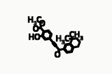 COC(=O)c1ccc(C#CC(=O)c2ccc3c(c2)C(C)(C)CCC3)cc1O